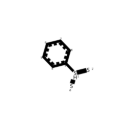 S=[SH](=S)c1ccccc1